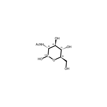 CC(=O)N[C@@H]1[C@@H](O)[C@H](O)[C@@H](CO)O[13CH]1O